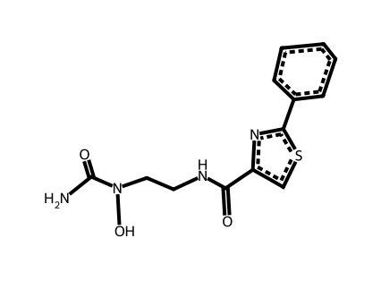 NC(=O)N(O)CCNC(=O)c1csc(-c2ccccc2)n1